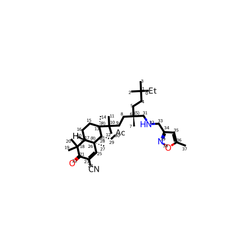 CCC(C)(C)CC[C@@](C)(CCC(C)(C)[C@]1(C)CC[C@H]2C(C)(C)C(=O)C(C#N)=C[C@]2(C)[C@H]1CC(C)=O)CNCc1cc(C)on1